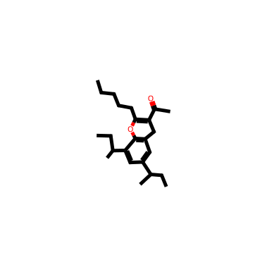 CCCCCC1=C(C(C)=O)Cc2cc(C(C)CC)cc(C(C)CC)c2O1